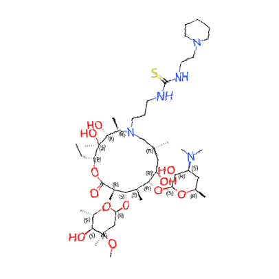 CC[C@H]1OC(=O)[C@H](C)[C@@H](O[C@H]2C[C@@](C)(OC)[C@@H](O)[C@H](C)O2)[C@H](C)[C@@H](O[C@@H]2O[C@H](C)C[C@H](N(C)C)[C@H]2O)[C@](C)(O)C[C@@H](C)CN(CCCNC(=S)NCCN2CCCCC2)[C@H](C)[C@@H](O)[C@]1(C)O